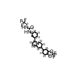 O=C(NCC(F)(F)F)Nc1cccc(-c2cnc3cc(-c4ccc5c(c4)OC(F)(F)O5)ccn23)c1